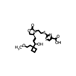 COCCC1([C@H](O)C=C[C@H]2COC(=O)N2CCSc2nc(C(=O)O)cs2)CCC1